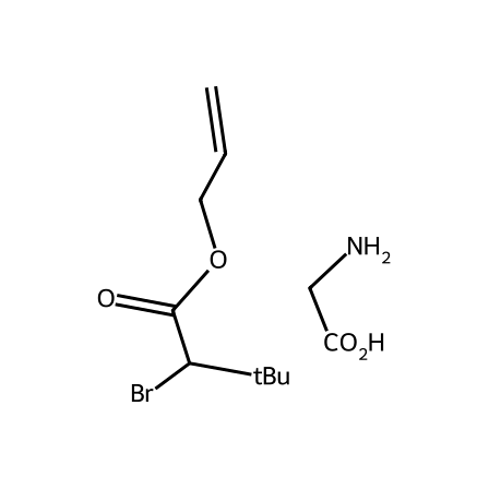 C=CCOC(=O)C(Br)C(C)(C)C.NCC(=O)O